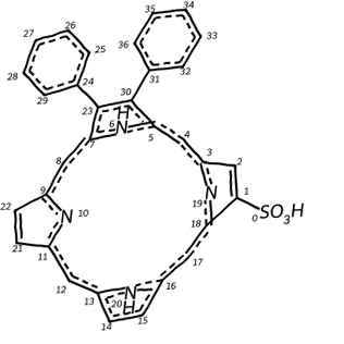 O=S(=O)(O)C1=Cc2cc3[nH]c(cc4nc(cc5ccc(cc1n2)[nH]5)C=C4)c(-c1ccccc1)c3-c1ccccc1